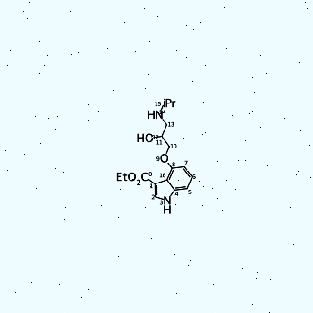 CCOC(=O)c1c[nH]c2cccc(OCC(O)CNC(C)C)c12